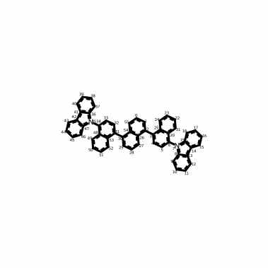 c1cc(-c2ccc(-n3c4ccccc4c4ccccc43)c3ccccc23)c2cccc(-c3ccc(-n4c5ccccc5c5ccccc54)c4ccccc34)c2c1